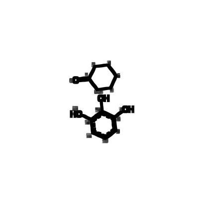 O=C1CCCCC1.Oc1cccc(O)c1O